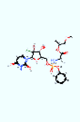 COCC(C)OC(=O)[C@H](C)NP(=O)(OCC1OC(n2ccc(=O)[nH]c2=O)[C@](Cl)(Br)[C@@H]1O)Oc1ccccc1